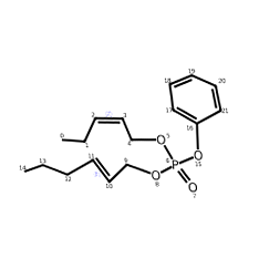 CC/C=C\COP(=O)(OC/C=C/CCC)Oc1ccccc1